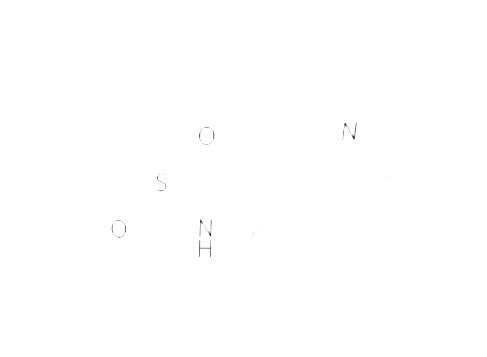 CN1CCC[C@H](NS(C)(=O)=O)C1